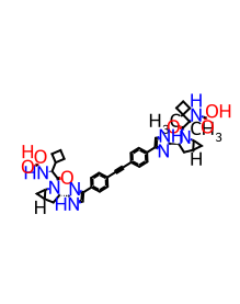 CC1([C@@](C)(NC(=O)O)C(=O)N2C3C[C@@H]3C[C@H]2c2nc(-c3ccc(C#Cc4ccc(-c5c[nH]c([C@@H]6C[C@H]7CC7N6C(=O)[C@H](NC(=O)O)C6CCC6)n5)cc4)cc3)c[nH]2)CCC1